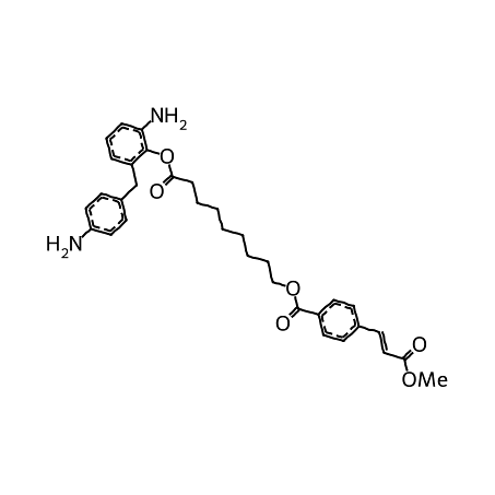 COC(=O)/C=C/c1ccc(C(=O)OCCCCCCCCC(=O)Oc2c(N)cccc2Cc2ccc(N)cc2)cc1